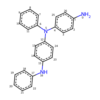 Nc1ccc(N(c2ccccc2)c2ccc(Nc3ccccc3)cc2)cc1